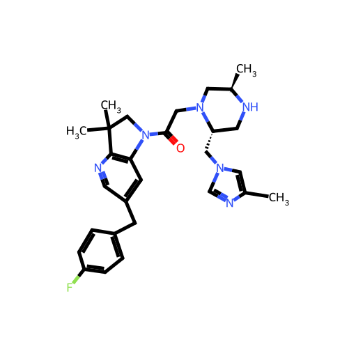 Cc1cn(C[C@H]2CN[C@H](C)CN2CC(=O)N2CC(C)(C)c3ncc(Cc4ccc(F)cc4)cc32)cn1